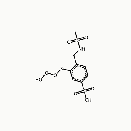 CS(=O)(=O)NCc1ccc(S(=O)(=O)O)cc1SOOO